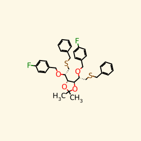 CC1(C)O[C@H]([C@@H](CSCc2ccccc2)OCc2ccc(F)cc2)[C@@H]([C@@H](CSCc2ccccc2)OCc2ccc(F)cc2)O1